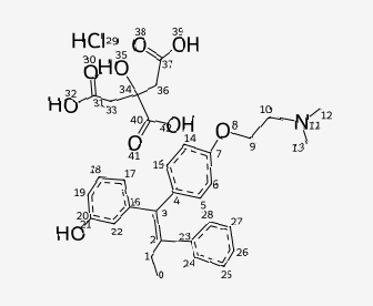 CCC(=C(c1ccc(OCCN(C)C)cc1)c1cccc(O)c1)c1ccccc1.Cl.O=C(O)CC(O)(CC(=O)O)C(=O)O